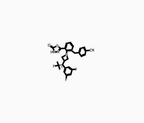 CC(C)(F)[C@H](c1cc(F)cc(F)c1)C1CN(c2c(Cc3ccc(C#N)cc3)cccc2-c2n[nH]c(=O)o2)C1